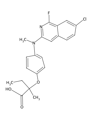 CCC(C)(Oc1ccc(N(C)c2cc3ccc(Cl)cc3c(F)n2)cc1)C(=O)O